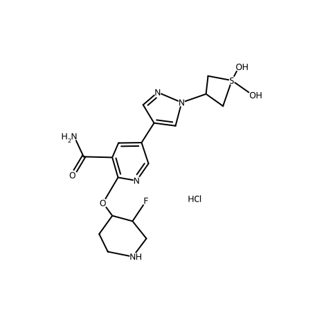 Cl.NC(=O)c1cc(-c2cnn(C3CS(O)(O)C3)c2)cnc1OC1CCNCC1F